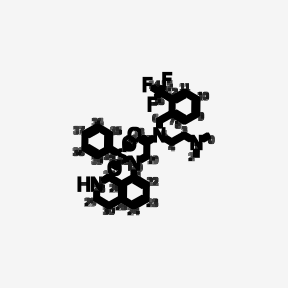 CN(C)CCN(Cc1ccccc1C(F)(F)F)C(=O)CN(c1cccc2c1CNCC2)S(=O)(=O)c1ccccc1